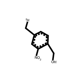 [2H]Cc1ccc(CO)c([N+](=O)[O-])c1